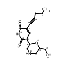 CCCC#Cc1cn(C2CNCC(CO)O2)c(=O)[nH]c1=O